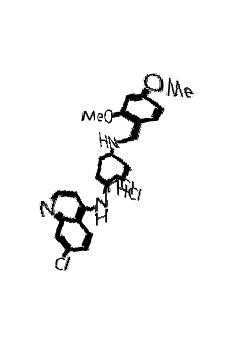 COc1ccc(CNC2CCC(Nc3ccnc4cc(Cl)ccc34)CC2)c(OC)c1.Cl.Cl